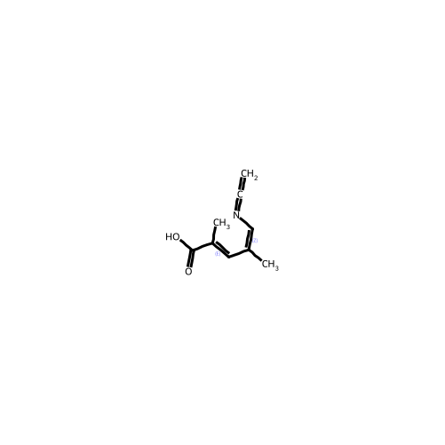 C=C=N/C=C(C)\C=C(/C)C(=O)O